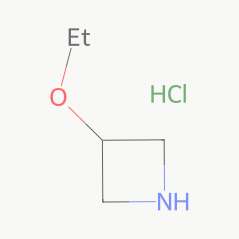 CCOC1CNC1.Cl